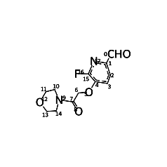 O=Cc1ccc(OCC(=O)N2CCOCC2)c(F)n1